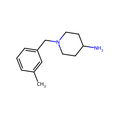 Cc1cccc(CN2CCC(N)CC2)c1